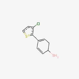 BC1C=CC(c2sccc2Cl)=CC1